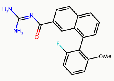 COc1cccc(F)c1-c1cccc2ccc(C(=O)N=C(N)N)cc12